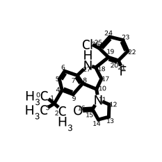 CC(C)(C)c1ccc2c(c1)C(N1CCCC1=O)CC(c1c(F)cccc1Cl)N2